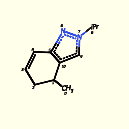 CC1CC=Cc2nn(C(C)C)cc21